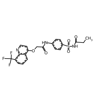 CCC(=O)NS(=O)(=O)c1ccc(NC(=O)COc2ccnc3c(C(F)(F)F)cccc23)cc1